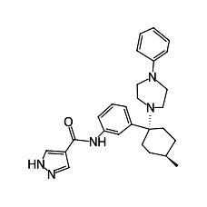 C[C@H]1CC[C@](c2cccc(NC(=O)c3cn[nH]c3)c2)(N2CCN(c3ccccc3)CC2)CC1